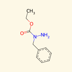 CCOC(=O)N(N)Cc1ccccc1